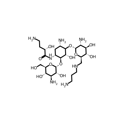 NCCCNC[C@H]1O[C@H](OC2[C@@H](N)C[C@@H](NC(=O)[C@@H](O)CCN)[C@H](O[C@H]3O[C@H](CO)[C@@H](O)[C@H](N)[C@H]3O)[C@H]2O)[C@H](N)[C@@H](O)[C@@H]1O